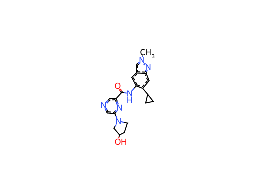 Cn1cc2cc(NC(=O)c3cncc(N4CCC(O)C4)n3)c(C3CC3)cc2n1